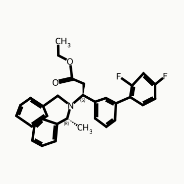 CCOC(=O)C[C@@H](c1cccc(-c2ccc(F)cc2F)c1)N(Cc1ccccc1)[C@H](C)c1ccccc1